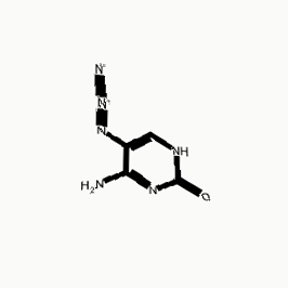 [N-]=[N+]=Nc1c[nH]c(=O)nc1N